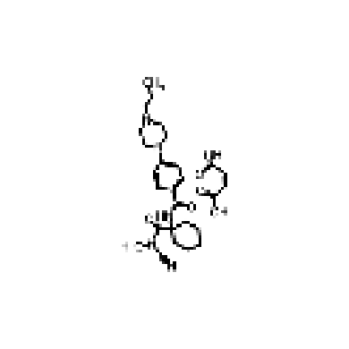 CCCN1CCN(c2ccc(C(=O)NC3(C(=O)N(C)C#N)CCCCC3)cc2)CC1.O=C(O)/C=C\C(=O)O